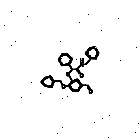 O=Cc1ccc(OCc2ccccc2)c(OC(C(=O)NCc2ccccc2)c2ccccc2)c1